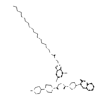 CCCCCCCCCCCCCCCCCCOC(=O)OCn1cc2cc(C[C@@H](NC(=O)N3CCC(c4cc5ccccc5[nH]c4=O)CC3)C(=O)N3CCN(C4CCN(C)CC4)CC3)cc(C)c2n1